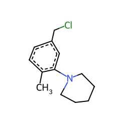 Cc1ccc(CCl)cc1N1CCCCC1